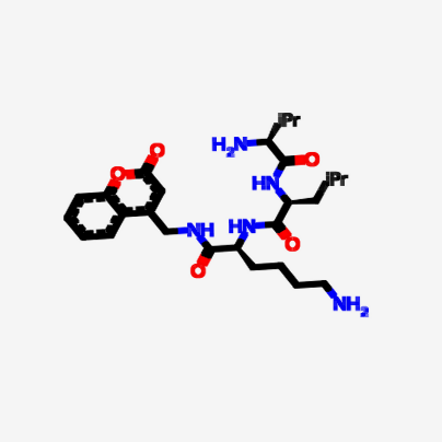 CC(C)C[C@H](NC(=O)[C@@H](N)C(C)C)C(=O)N[C@@H](CCCCN)C(=O)NCc1cc(=O)oc2ccccc12